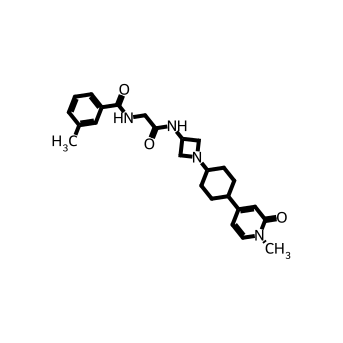 Cc1cccc(C(=O)NCC(=O)NC2CN(C3CCC(c4ccn(C)c(=O)c4)CC3)C2)c1